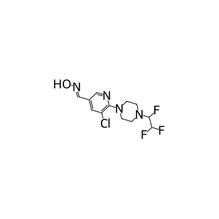 O/N=C/c1cnc(N2CCN(C(F)C(F)F)CC2)c(Cl)c1